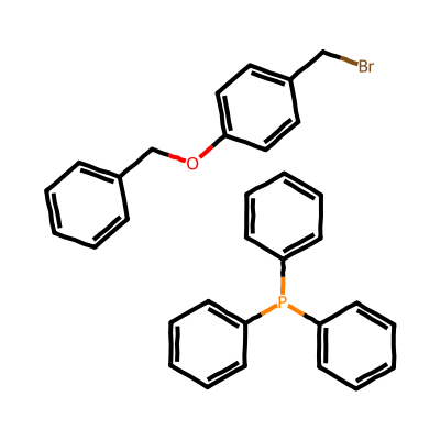 BrCc1ccc(OCc2ccccc2)cc1.c1ccc(P(c2ccccc2)c2ccccc2)cc1